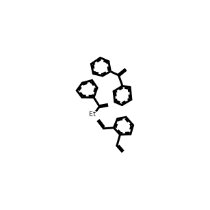 C=C(CC)c1ccccc1.C=C(c1ccccc1)c1ccccc1.C=Cc1ccccc1C=C